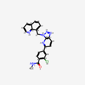 CCNC(=O)c1ccc(-c2ccc3nnn(Cc4cccc5cccnc45)c3n2)cc1Cl